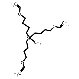 C=COCCCC[Si](C)(CCCCOC=C)CCCCOC=C